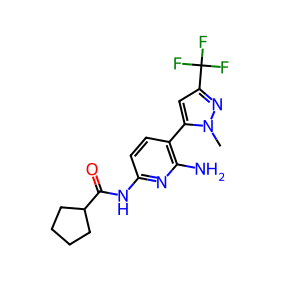 Cn1nc(C(F)(F)F)cc1-c1ccc(NC(=O)C2CCCC2)nc1N